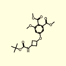 COC(=O)c1cc(OC2CC(NC(=O)OC(C)(C)C)C2)cc(OC)c1C(=O)OC